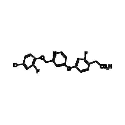 O=C(O)Cc1ccc(Oc2ccnc(COc3ccc(Cl)cc3F)c2)cc1F